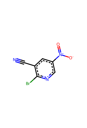 N#Cc1cc([N+](=O)[O-])cnc1Br